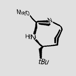 COC1=NC=CC(C(C)(C)C)N1